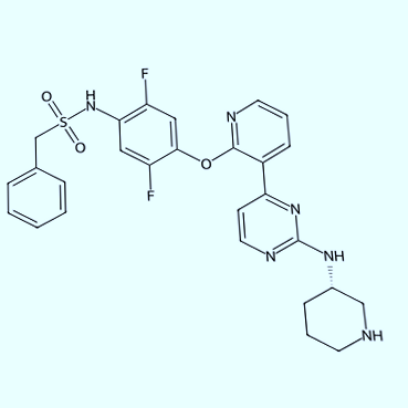 O=S(=O)(Cc1ccccc1)Nc1cc(F)c(Oc2ncccc2-c2ccnc(N[C@H]3CCCNC3)n2)cc1F